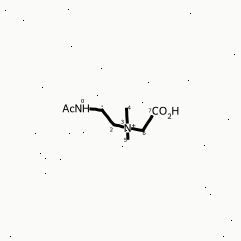 CC(=O)NCC[N+](C)(C)CC(=O)O